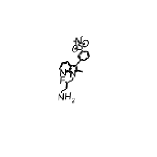 Cc1c(-c2cccc(S(=O)(=O)N(C)C)c2)c2cccnc2n1CC(F)=CCN